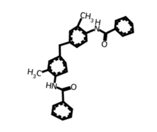 Cc1cc(Cc2ccc(NC(=O)c3ccccc3)c(C)c2)ccc1NC(=O)c1ccccc1